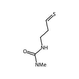 CNC(=O)NCCC=S